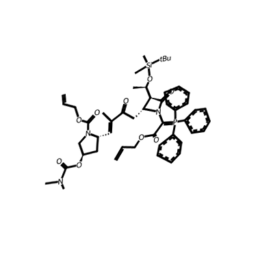 C=CCOC(=O)C(N1C(=O)[C@H]([C@@H](C)O[Si](C)(C)C(C)(C)C)[C@H]1CC(=O)C(C)=C[C@@H]1C[C@@H](OC(=O)N(C)C)CN1C(=O)OCC=C)=P(c1ccccc1)(c1ccccc1)c1ccccc1